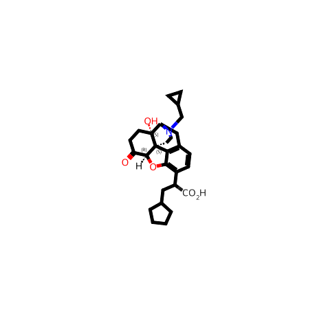 O=C(O)C(CC1CCCC1)c1ccc2c3c1O[C@H]1C(=O)CC[C@@]4(O)C(C2)N(CC2CC2)CC[C@]314